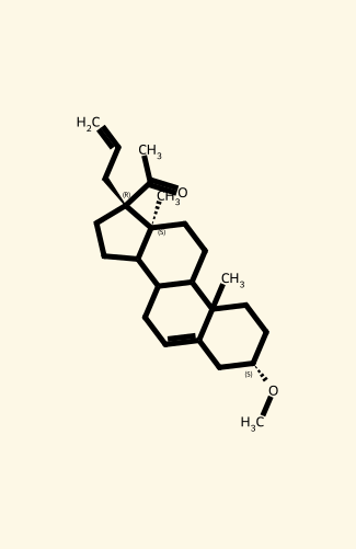 C=CC[C@]1(C(C)=O)CCC2C3CC=C4C[C@@H](OC)CCC4(C)C3CC[C@@]21C